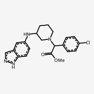 COC(=O)C(c1ccc(Cl)cc1)N1CCCC(Nc2ccc3[nH]ncc3c2)C1